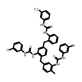 Cc1ccc(Cc2ccc(Cc3ccccc3NC(=O)Nc3cccc(C(F)(F)F)c3)cc2NC(=O)Nc2cccc(Cl)c2)cc1NC(=O)Nc1cccc(Br)c1